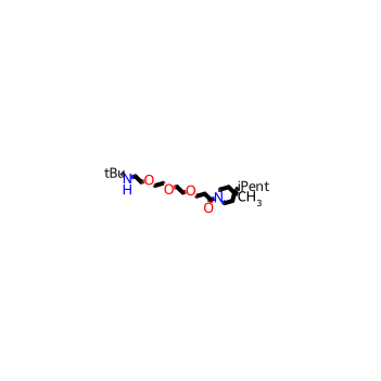 CCCC(C)C1(C)CCN(C(=O)CCOCCOCCOCCNC(C)(C)C)CC1